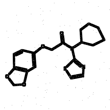 O=C(COc1ccc2c(c1)OCO2)N(c1nccs1)C1CCCCC1